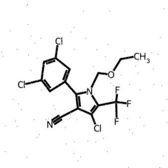 CCOCn1c(-c2cc(Cl)cc(Cl)c2)c(C#N)c(Cl)c1C(F)(F)F